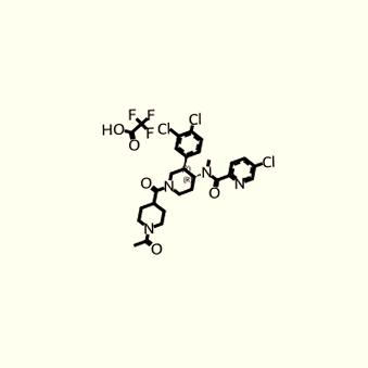 CC(=O)N1CCC(C(=O)N2CC[C@@H](N(C)C(=O)c3ccc(Cl)cn3)[C@H](c3ccc(Cl)c(Cl)c3)C2)CC1.O=C(O)C(F)(F)F